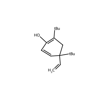 C=CC1(C(C)(C)C)C=CC(O)=C(C(C)(C)C)C1